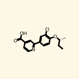 CC[C@@H](C)Oc1ccc(-c2cc(C(=O)O)ccn2)cc1Cl